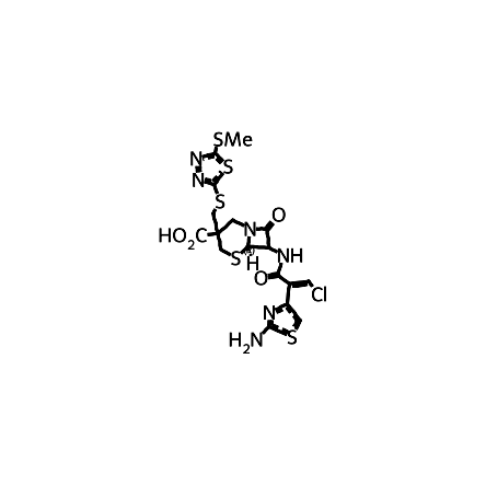 CSc1nnc(SCC2(C(=O)O)CS[C@@H]3C(NC(=O)C(=CCl)c4csc(N)n4)C(=O)N3C2)s1